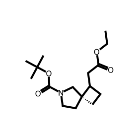 CCOC(=O)CC1CC[C@@]12CCN(C(=O)OC(C)(C)C)C2